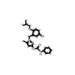 Cc1cc(OC(=O)Nc2ccccc2)nn1Cc1cc(Cl)ccc1OCC(C)C